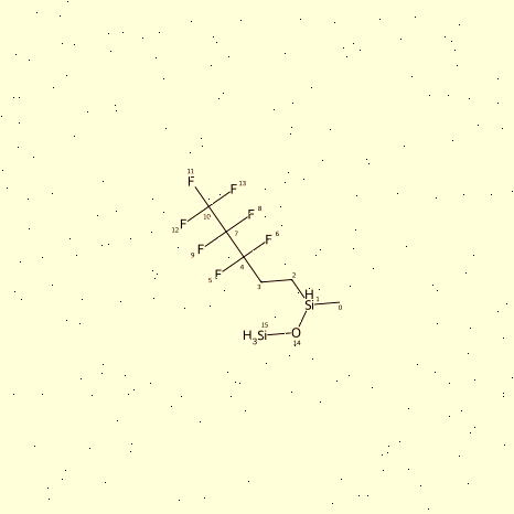 C[SiH](CCC(F)(F)C(F)(F)C(F)(F)F)O[SiH3]